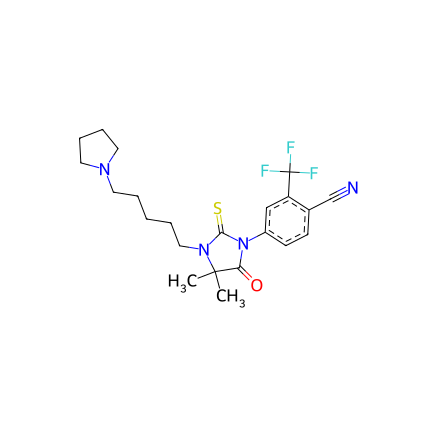 CC1(C)C(=O)N(c2ccc(C#N)c(C(F)(F)F)c2)C(=S)N1CCCCCN1CCCC1